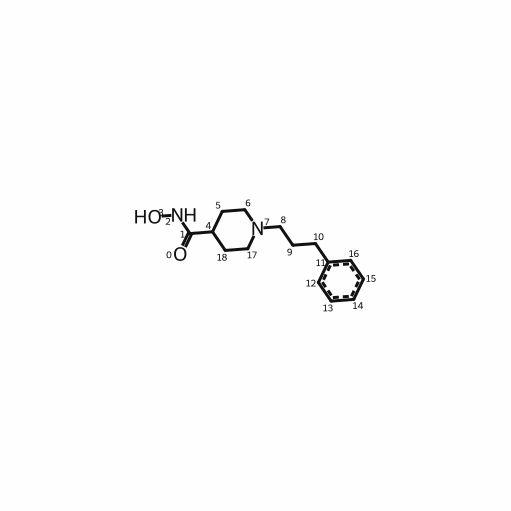 O=C(NO)C1CCN(CCCc2ccccc2)CC1